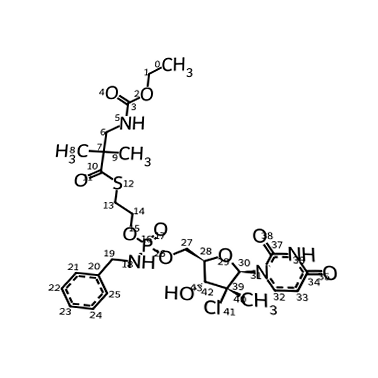 CCOC(=O)NCC(C)(C)C(=O)SCCO[P@@](=O)(NCc1ccccc1)OC[C@H]1O[C@@H](n2ccc(=O)[nH]c2=O)[C@](C)(Cl)[C@@H]1O